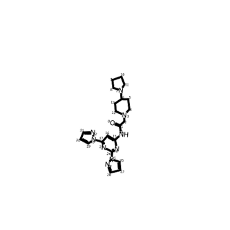 O=C(CN1CCC(N2CCCC2)CC1)Nc1cc(-n2cccn2)nc(-n2cccn2)n1